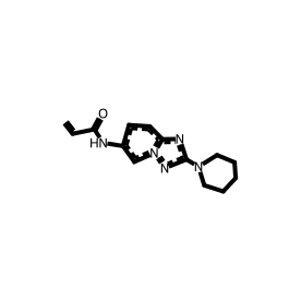 C=CC(=O)Nc1ccc2nc(N3CCCCC3)nn2c1